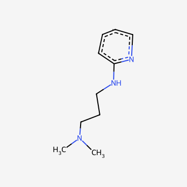 CN(C)CCCNc1cc[c]cn1